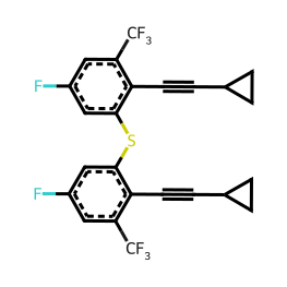 Fc1cc(Sc2cc(F)cc(C(F)(F)F)c2C#CC2CC2)c(C#CC2CC2)c(C(F)(F)F)c1